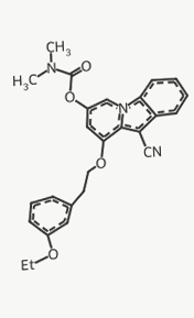 CCOc1cccc(CCOc2cc(OC(=O)N(C)C)cn3c2c(C#N)c2ccccc23)c1